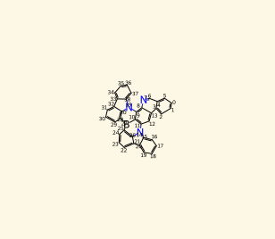 c1ccc2c(c1)cnc1c3c4c(cc12)-n1c2ccccc2c2cccc(c21)B4c1cccc2c4ccccc4n-3c12